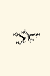 NCN.OB(O)O